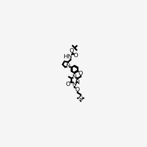 CC1C(=O)N(COCC[Si](C)(C)C)N=C2COc3ccc(N4CCCC4CNC(=O)OC(C)(C)C)cc3N21